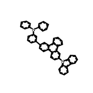 c1ccc(N(c2ccccc2)c2cccc(-c3ccc4c5ccc(-n6c7ccccc7c7ccccc76)cc5c5ccccc5c4c3)c2)cc1